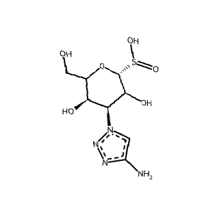 Nc1cn([C@@H]2C(O)[C@@H](S(=O)O)OC(CO)[C@@H]2O)nn1